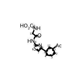 CC(=O)c1cccc(-c2csc(NC(=O)CNC(=O)O)n2)c1